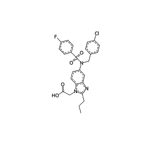 CCCc1nc2cc(N(Cc3ccc(Cl)cc3)S(=O)(=O)c3ccc(F)cc3)ccc2n1CC(=O)O